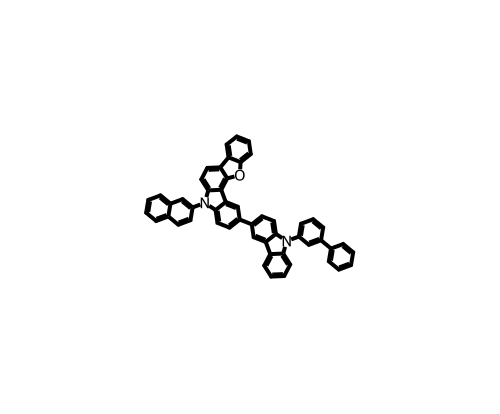 c1ccc(-c2cccc(-n3c4ccccc4c4cc(-c5ccc6c(c5)c5c7oc8ccccc8c7ccc5n6-c5ccc6ccccc6c5)ccc43)c2)cc1